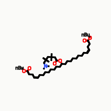 CCCCOC(=O)CC/C=C\CCCCCCCCC(CCCCCCCC/C=C\CCC(=O)OCCCC)OC(=O)CC(C)(C)CC(C)(C)CN(C)C